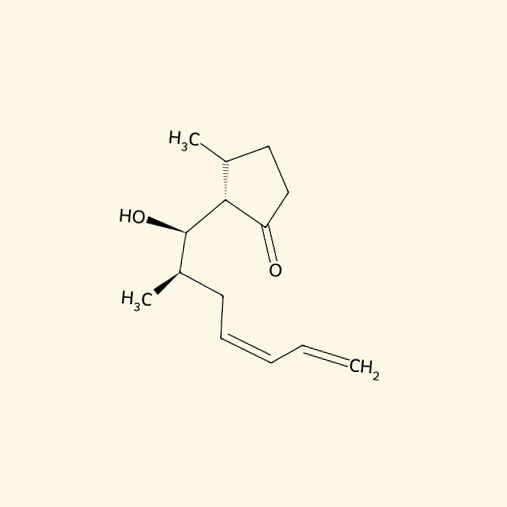 C=C/C=C\C[C@@H](C)[C@@H](O)[C@H]1C(=O)CCC1C